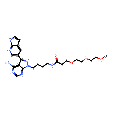 CCOCCOCCOCCC(=O)NCCCCn1nc(-c2cnc3[nH]ccc3c2)c2c(N)ncnc21